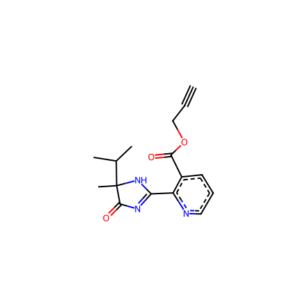 C#CCOC(=O)c1cccnc1C1=NC(=O)C(C)(C(C)C)N1